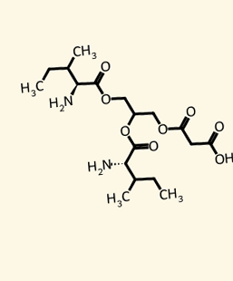 CCC(C)[C@H](N)C(=O)OCC(COC(=O)CC(=O)O)OC(=O)[C@@H](N)C(C)CC